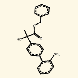 CC(O)(C(=O)OCc1ccccc1)c1ccc(-c2ccccc2N)cc1